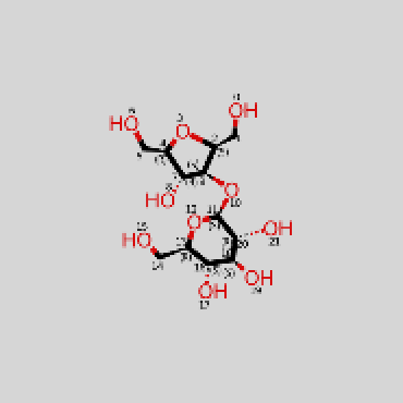 OC[C@@H]1O[C@H](CO)[C@@H](O)[C@@H]1O[C@@H]1O[C@H](CO)[C@@H](O)[C@H](O)[C@H]1O